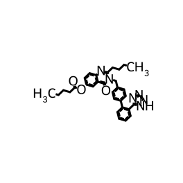 CCCCC(=O)Oc1ccc2nc(CCCC)n(Cc3ccc(-c4ccccc4-c4nnn[nH]4)cc3)c(=O)c2c1